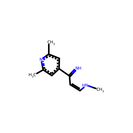 CN/C=C\C(=N)c1cc(C)nc(C)c1